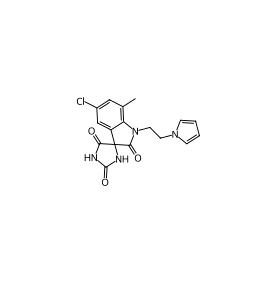 Cc1cc(Cl)cc2c1N(CCn1cccc1)C(=O)C21NC(=O)NC1=O